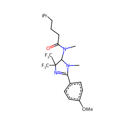 COc1ccc(C2=NC(C(F)(F)F)(C(F)(F)F)C(N(C)C(=O)CCCC(C)C)N2C)cc1